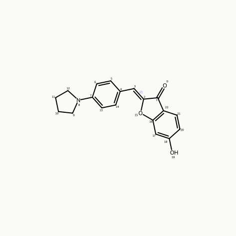 O=C1/C(=C/c2ccc(N3CCCC3)cc2)Oc2cc(O)ccc21